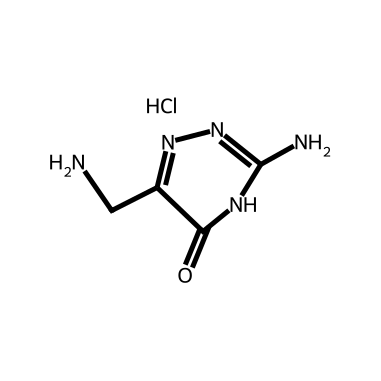 Cl.NCc1nnc(N)[nH]c1=O